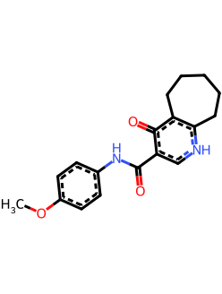 COc1ccc(NC(=O)c2c[nH]c3c(c2=O)CCCCC3)cc1